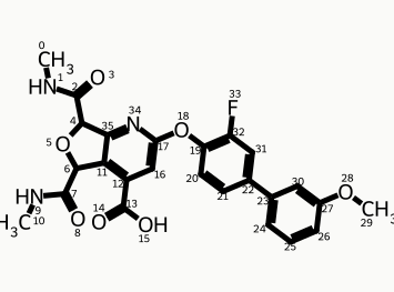 CNC(=O)C1OC(C(=O)NC)c2c(C(=O)O)cc(Oc3ccc(-c4cccc(OC)c4)cc3F)nc21